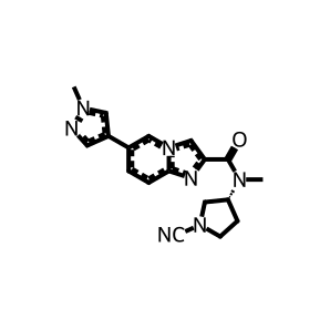 CN(C(=O)c1cn2cc(-c3cnn(C)c3)ccc2n1)[C@@H]1CCN(C#N)C1